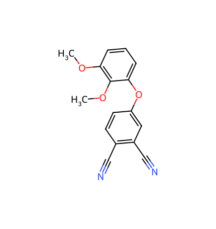 COc1cccc(Oc2ccc(C#N)c(C#N)c2)c1OC